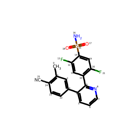 Cc1cc(-c2cccnc2-c2cc(F)c(S(N)(=O)=O)cc2F)ccc1C#N